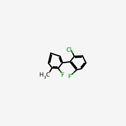 Cc1cccc(-c2c(F)cccc2Cl)c1F